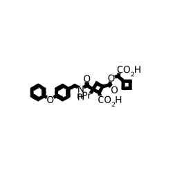 CCCC1(C(=O)NCc2ccc(Oc3ccccc3)cc2)CC(C(=O)OC(C(=O)O)C2CCC2)C1C(=O)O